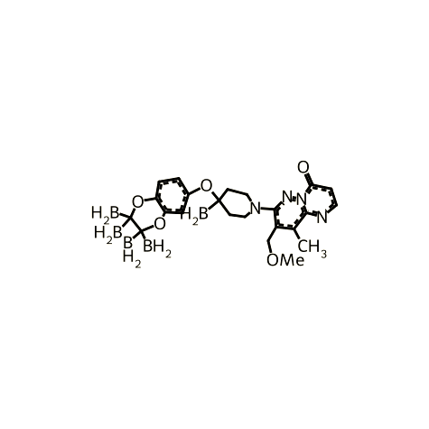 BC1(Oc2ccc3c(c2)OC(B)(B)C(B)(B)O3)CCN(c2nn3c(=O)ccnc3c(C)c2COC)CC1